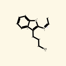 C/C=N\c1oc2ccccc2c1CCCS